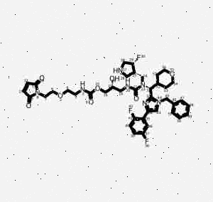 O=C(NCCOCCN1C(=O)C=CC1=O)OC[C@H](O)CNC(=O)N(C[C@@H]1CNC[C@@H]1F)[C@@H](c1nc(-c2cc(F)ccc2F)cn1Cc1ccccc1)C1CCOCC1